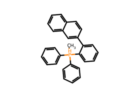 C[PH](c1ccccc1)(c1ccccc1)c1ccccc1-c1ccc2ccccc2c1